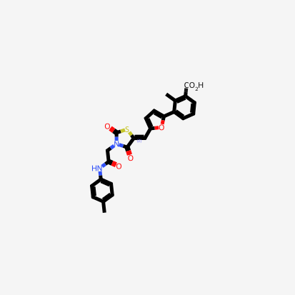 Cc1ccc(NC(=O)CN2C(=O)S/C(=C\c3ccc(-c4cccc(C(=O)O)c4C)o3)C2=O)cc1